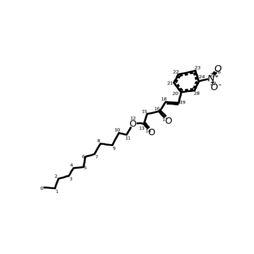 CCCCCCCCCCCCOC(=O)CC(=O)C=Cc1cccc([N+](=O)[O-])c1